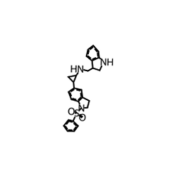 O=S(=O)(c1ccccc1)N1CCc2cc(C3CC3NCC3CNc4ccccc43)ccc21